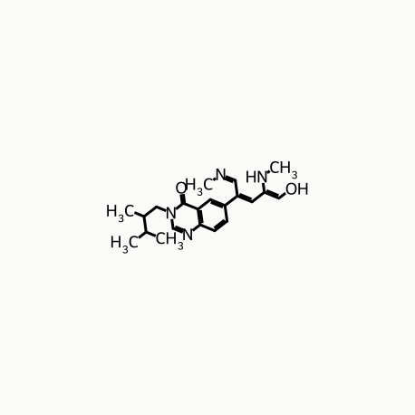 C\N=C/C(=C\C(=C\O)NC)c1ccc2ncn(CC(C)C(C)C)c(=O)c2c1